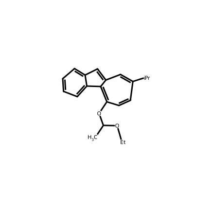 CCOC(C)Oc1ccc(C(C)C)cc2cc3ccccc3c1-2